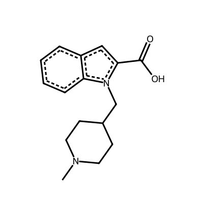 CN1CCC(Cn2c(C(=O)O)cc3ccccc32)CC1